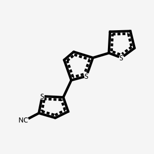 N#Cc1ccc(-c2ccc(-c3cccs3)s2)s1